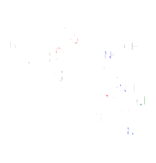 CC(CCNC(=O)c1c(Cl)cncc1Cl)N1CCC(C2(c3ccccc3-c3ccc(Br)cc3)OC=CO2)CC1